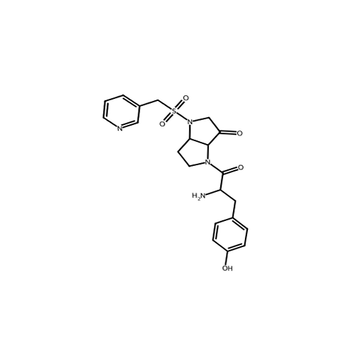 NC(Cc1ccc(O)cc1)C(=O)N1CCC2C1C(=O)CN2S(=O)(=O)Cc1cccnc1